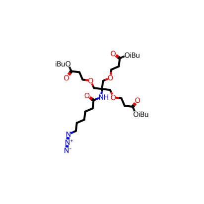 CC(C)COC(=O)CCOCC(COCCC(=O)OCC(C)C)(COCCC(=O)OCC(C)C)NC(=O)CCCCCN=[N+]=[N-]